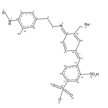 CCNc1ccc(CCN=C2C=C/C(=C\c3ccc(S(=O)(=O)[O-])cc3S(=O)(=O)O)C=C2C)cc1C.[Na+]